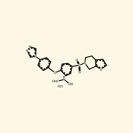 Cl.O=CNO.O=S(=O)(c1ccc(Oc2ccc(-n3cnnc3)cc2)cc1)N1CCc2ccoc2C1